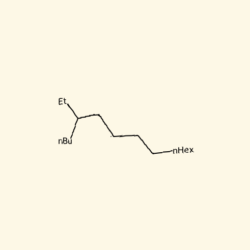 CCCCCCCC[CH]CC(CC)CCCC